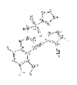 Cc1cc2c(c(C#[N+]c3onc(C)c3Cl)c1CC(=O)NS(=O)(=O)c1ccsc1)OCO2